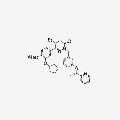 CCC1CC(=O)N(Cc2cccc(NC(=O)c3ccccn3)c2)N=C1c1ccc(OC)c(OC2CCCC2)c1